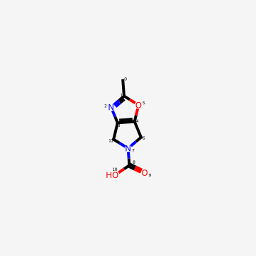 Cc1nc2c(o1)CN(C(=O)O)C2